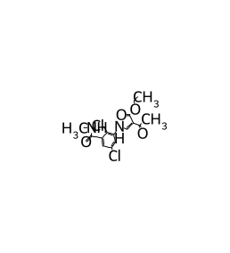 CCOC(=O)C(=CNc1cc(Cl)cc(C(=O)NC)c1Cl)C(C)=O